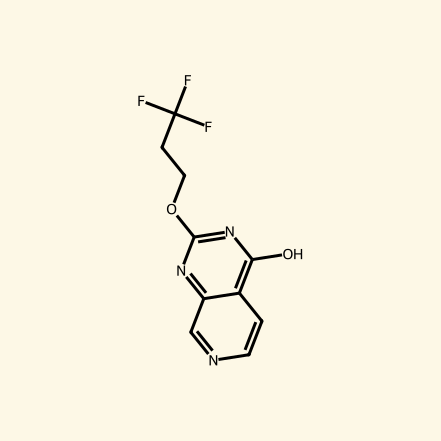 Oc1nc(OCCC(F)(F)F)nc2cnccc12